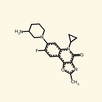 Cc1nc2c(=O)n(C3CC3)c3cc(N4CCCC(N)C4)c(F)cc3c2o1